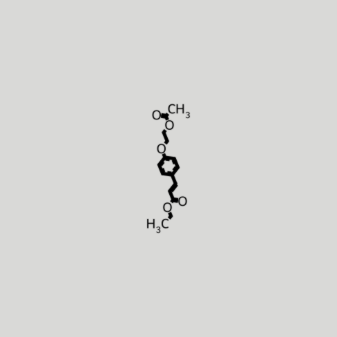 CCOC(=O)C=Cc1ccc(OCCOC(C)=O)cc1